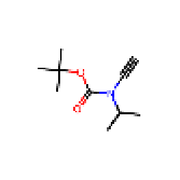 C#CN(C(=O)OC(C)(C)C)C(C)C